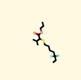 CCCOC(=O)C(SCCCCC(F)(F)CC)C(C)C